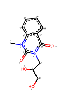 Cn1c(=O)n(CC(O)CO)c(=O)c2ccccc21